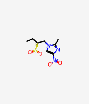 CCC(Cn1cc([N+](=O)[O-])nc1C)[SH](=O)=O